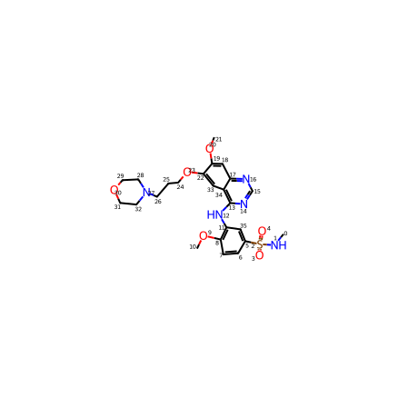 CNS(=O)(=O)c1ccc(OC)c(Nc2ncnc3cc(OC)c(OCCCN4CCOCC4)cc23)c1